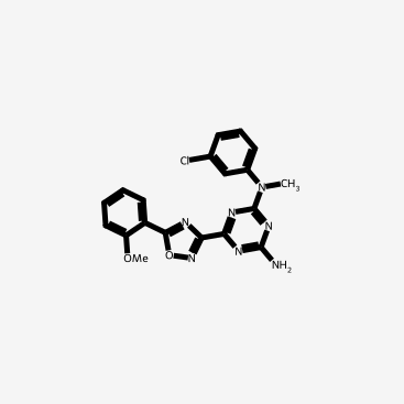 COc1ccccc1-c1nc(-c2nc(N)nc(N(C)c3cccc(Cl)c3)n2)no1